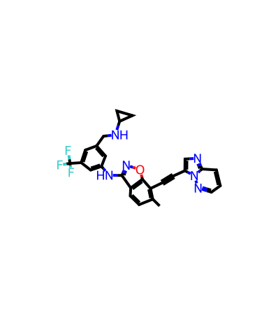 Cc1ccc2c(Nc3cc(CNC4CC4)cc(C(F)(F)F)c3)noc2c1C#Cc1cnc2cccnn12